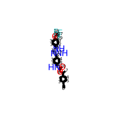 C#Cc1ccc(C(C)OC(=O)Nc2ccc(C(=N)/N=C\Nc3ccc(OC(F)(F)F)cc3)cc2)cc1